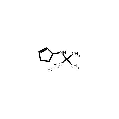 CC(C)(C)NC1C=CCC1.Cl